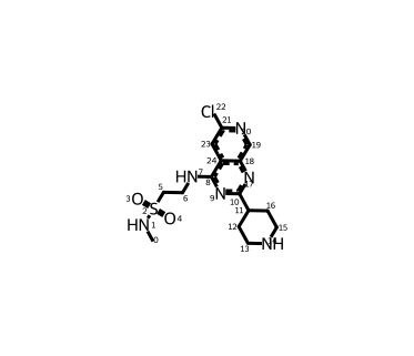 CNS(=O)(=O)CCNc1nc(C2CCNCC2)nc2cnc(Cl)cc12